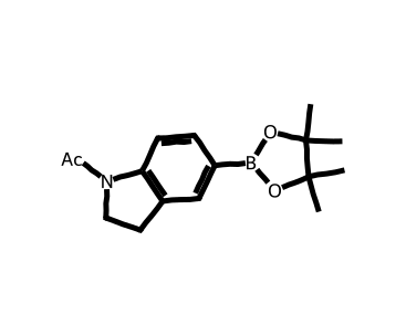 CC(=O)N1CCc2cc(B3OC(C)(C)C(C)(C)O3)ccc21